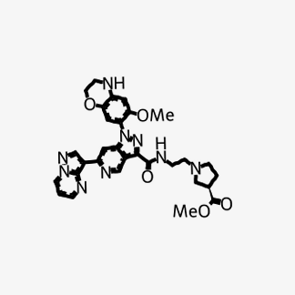 COC(=O)[C@@H]1CCN(CCNC(=O)c2nn(-c3cc4c(cc3OC)NCCO4)c3cc(-c4cnn5cccnc45)ncc23)C1